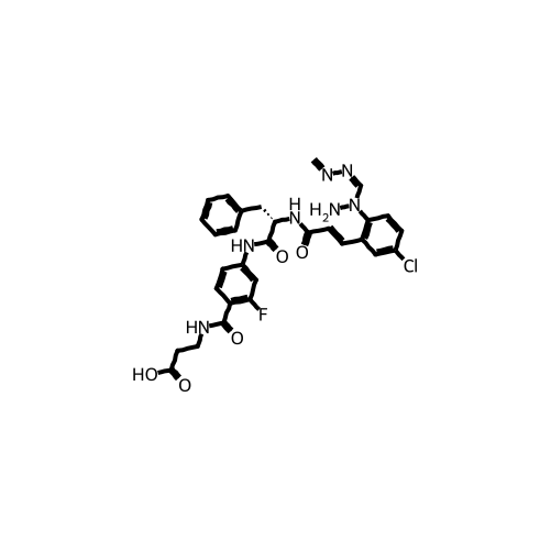 C=N/N=C\N(N)c1ccc(Cl)cc1/C=C/C(=O)N[C@@H](Cc1ccccc1)C(=O)Nc1ccc(C(=O)NCCC(=O)O)c(F)c1